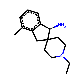 CCN1CCC2(CC1)Cc1c(C)cccc1[C@H]2N